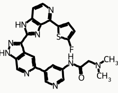 CN(C)CC(=O)Nc1cncc(-c2cc3c(-c4nc5c(-c6ccc(F)s6)nccc5[nH]4)n[nH]c3cn2)c1